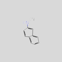 N#CNc1ccc2ccccc2c1